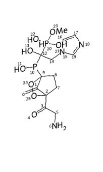 C=C1C2(C(=O)CN)CCC1(P(O)C(O)(Cn1ccnc1)[PH](O)(O)OC)OO2